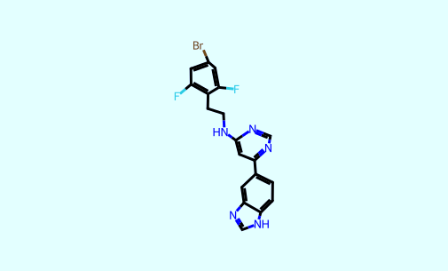 Fc1cc(Br)cc(F)c1CCNc1cc(-c2ccc3[nH]cnc3c2)ncn1